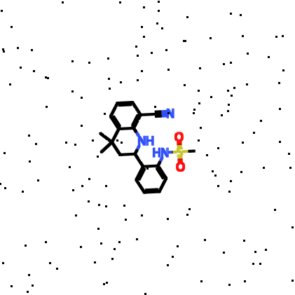 CC1(C)CC(c2ccccc2NS(C)(=O)=O)Nc2c(C#N)cccc21